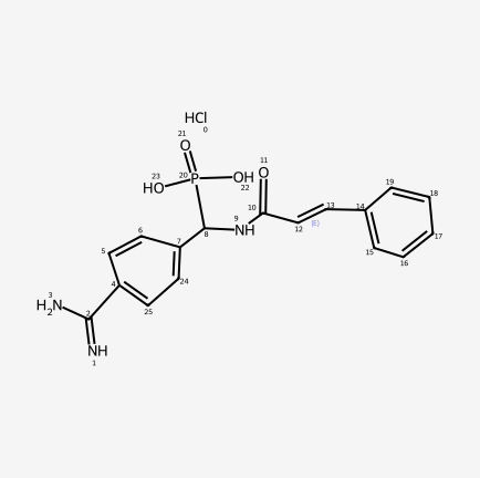 Cl.N=C(N)c1ccc(C(NC(=O)/C=C/c2ccccc2)P(=O)(O)O)cc1